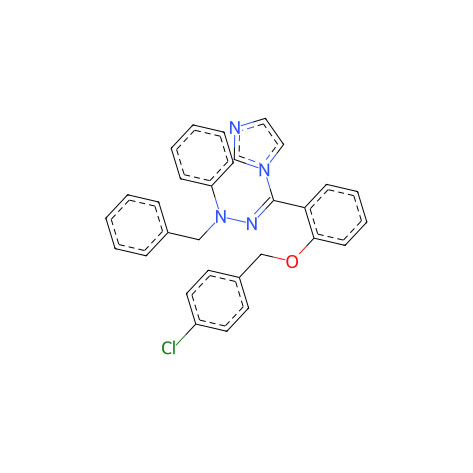 Clc1ccc(COc2ccccc2C(=NN(Cc2ccccc2)c2ccccc2)n2ccnc2)cc1